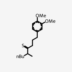 CCCCC(C)C(=S)CCCc1ccc(OC)c(OC)c1